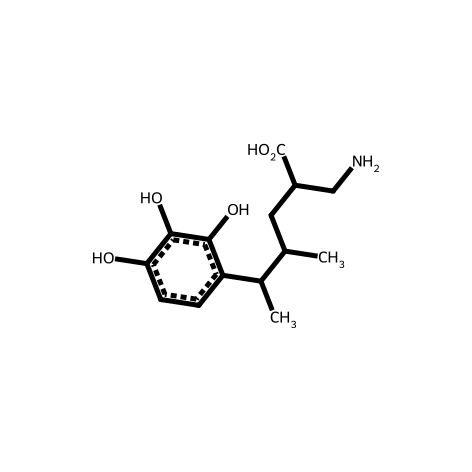 CC(CC(CN)C(=O)O)C(C)c1ccc(O)c(O)c1O